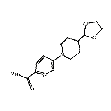 COC(=O)c1ccc(N2CCC(C3OCCO3)CC2)cn1